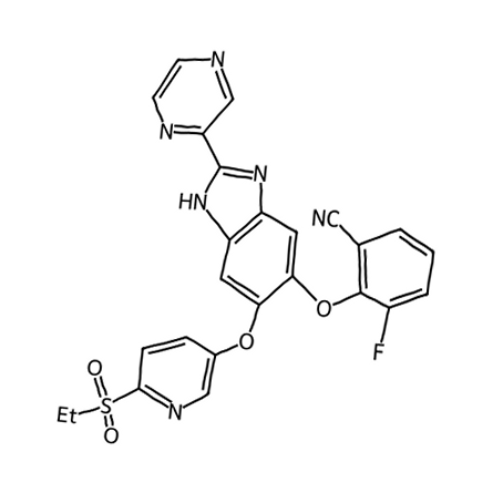 CCS(=O)(=O)c1ccc(Oc2cc3[nH]c(-c4cnccn4)nc3cc2Oc2c(F)cccc2C#N)cn1